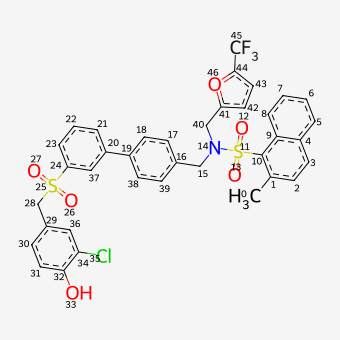 Cc1ccc2ccccc2c1S(=O)(=O)N(Cc1ccc(-c2cccc(S(=O)(=O)Cc3ccc(O)c(Cl)c3)c2)cc1)Cc1ccc(C(F)(F)F)o1